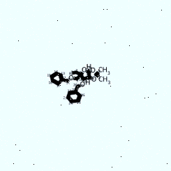 CC1(C)O[C@H]2OC(CI)(COCc3ccccc3)[C@@H](OCc3ccccc3)[C@H]2O1